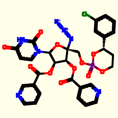 [N-]=[N+]=N[C@]1(COP2(=O)OCC[C@@H](c3cccc(Cl)c3)O2)OC(n2ccc(=O)[nH]c2=O)[C@H](OC(=O)c2cccnc2)[C@@H]1OC(=O)c1cccnc1